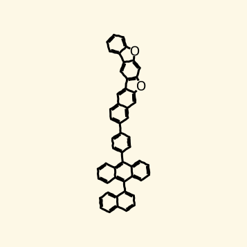 c1ccc2c(-c3c4ccccc4c(-c4ccc(-c5ccc6cc7c(cc6c5)oc5cc6oc8ccccc8c6cc57)cc4)c4ccccc34)cccc2c1